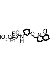 CCC(CC)(CC(=O)Nc1cccc(OCc2ccc3cccc(Cl)c3n2)c1)C(=O)O